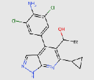 CCC(O)c1c(C2CC2)nc2[nH]ncc2c1-c1cc(Cl)c(N)c(Cl)c1